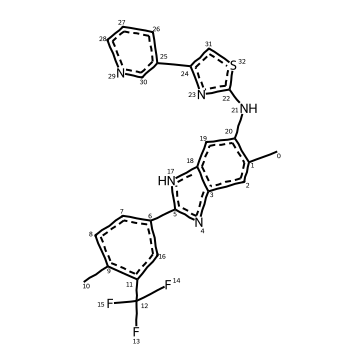 Cc1cc2nc(-c3ccc(C)c(C(F)(F)F)c3)[nH]c2cc1Nc1nc(-c2cccnc2)cs1